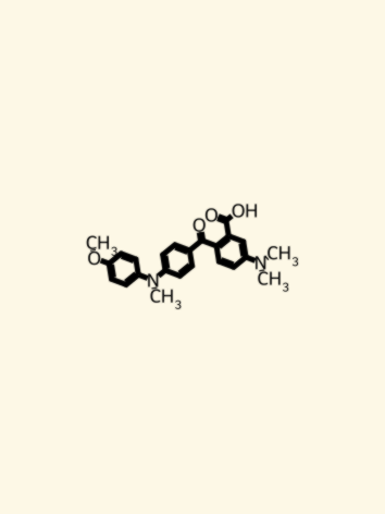 COc1ccc(N(C)c2ccc(C(=O)c3ccc(N(C)C)cc3C(=O)O)cc2)cc1